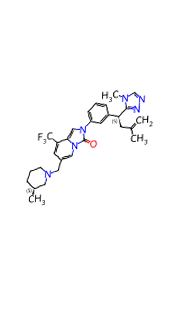 C=C(C)C[C@@H](c1cccc(-n2cc3c(C(F)(F)F)cc(CN4CCC[C@H](C)C4)cn3c2=O)c1)c1nncn1C